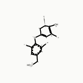 O=C(O)Cc1cc(I)c(OC2=CC(I)=C(O)[C@@H](I)C2)c(I)c1